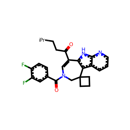 CC(C)CCC(=O)C1=CN(C(=O)c2ccc(F)c(F)c2)CC2(CCC2)c2c1[nH]c1ncccc21